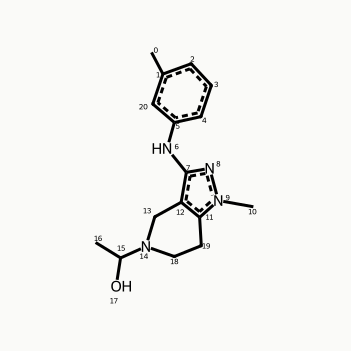 Cc1cccc(Nc2nn(C)c3c2CN(C(C)O)CC3)c1